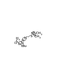 Cc1nnc(SCCCN2CCN(c3cc(C4(C)CCC4)nc(C(C)(C)C)n3)CC2)n1C